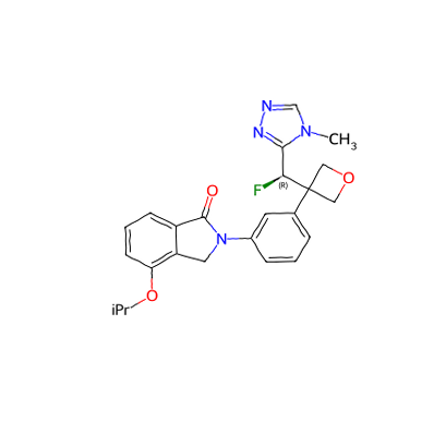 CC(C)Oc1cccc2c1CN(c1cccc(C3([C@@H](F)c4nncn4C)COC3)c1)C2=O